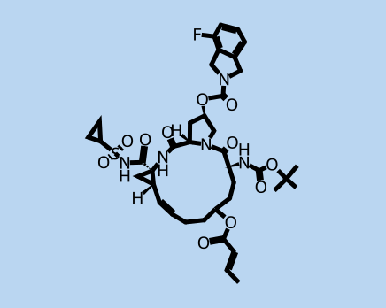 CC=CC(=O)OC1CCC=C[C@@H]2C[C@@]2(C(=O)NS(=O)(=O)C2CC2)NC(=O)[C@@H]2C[C@@H](OC(=O)N3Cc4cccc(F)c4C3)CN2C(=O)[C@@H](NC(=O)OC(C)(C)C)CC1